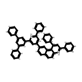 c1ccc(-c2cc(-c3ccccc3)cc(-c3cc(-c4ccc5ccc6nc(-c7ccccc7)cc(-c7ccccc7)c6c5c4)cc(-c4ccccc4)n3)c2)cc1